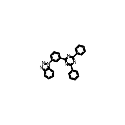 c1ccc(-c2nc(-c3ccccc3)nc(-c3cccc(-n4nnc5ccccc54)c3)n2)cc1